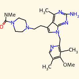 CNC(=O)N1CCN(CCc2cn(Cc3ncc(C)c(OC)c3C)c3nc(N)nc(C)c23)CC1